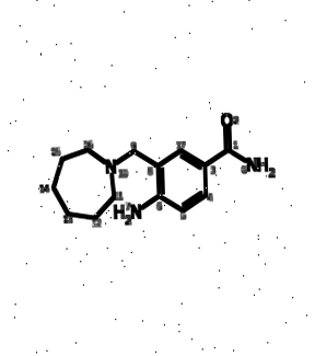 NC(=O)c1ccc(N)c(CN2CCCCCC2)c1